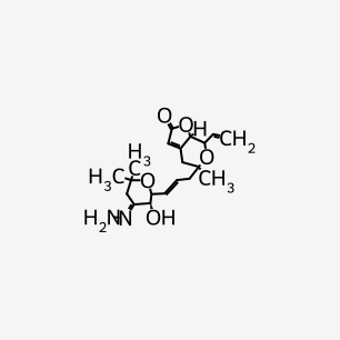 C=CC1O[C@](C)(C/C=C/C2OC(C)(C)C/C(=N\N)[C@@H]2O)CC2=CC(=O)O[C@@H]21